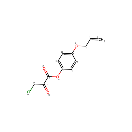 C=CCOc1ccc(OC(=O)C(=O)CCl)cc1